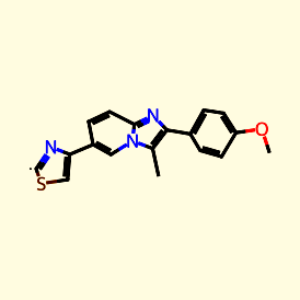 COc1ccc(-c2nc3ccc(-c4cs[c]n4)cn3c2C)cc1